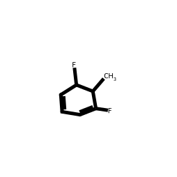 CC1C(F)=CC=CC1F